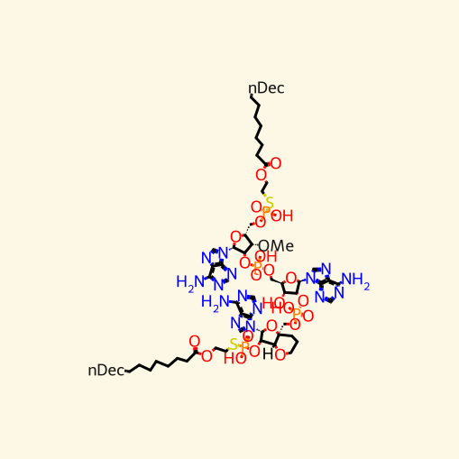 CCCCCCCCCCCCCCCCCC(=O)OCCSP(=O)(O)OC[C@H]1O[C@@H](n2cnc3c(N)ncnc32)C(OP(=O)(O)OC[C@H]2O[C@@H](n3cnc4c(N)ncnc43)C(OP(=O)(O)OC[C@]34CCCO[C@@H]3C(OP(=O)(O)SCCOC(=O)CCCCCCCCCCCCCCCCC)[C@H](n3cnc5c(N)ncnc53)O4)[C@H]2O)[C@H]1OC